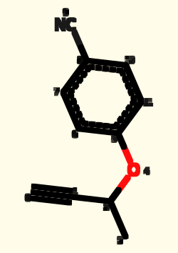 C#CC(C)Oc1ccc(C#N)cc1